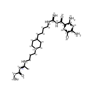 C/C(=N\C(=O)OC(C)(C)C)NCCCN1CCC(CCCCNC(=N)NC(=O)c2nc(Cl)c(N)nc2N)CC1